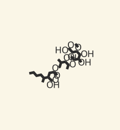 CCCCC(C)C(CC(=O)OCC(C)C(O)C(C)OC1OC(C(=O)O)C(OC)C(O)C1O)C(=O)O